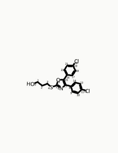 OCCCSc1nc(-c2ccc(Cl)cc2)c(-c2ccc(Cl)cc2)o1